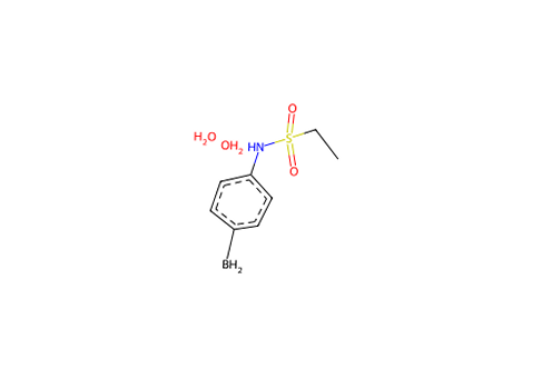 Bc1ccc(NS(=O)(=O)CC)cc1.O.O